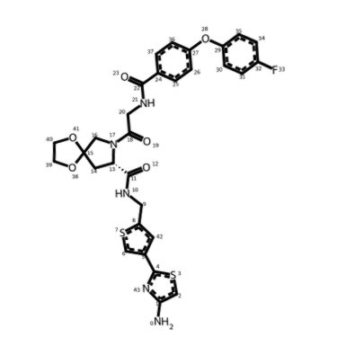 Nc1csc(-c2csc(CNC(=O)[C@@H]3CC4(CN3C(=O)CNC(=O)c3ccc(Oc5ccc(F)cc5)cc3)OCCO4)c2)n1